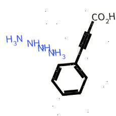 N.N.N.N.O=C(O)C#Cc1ccccc1